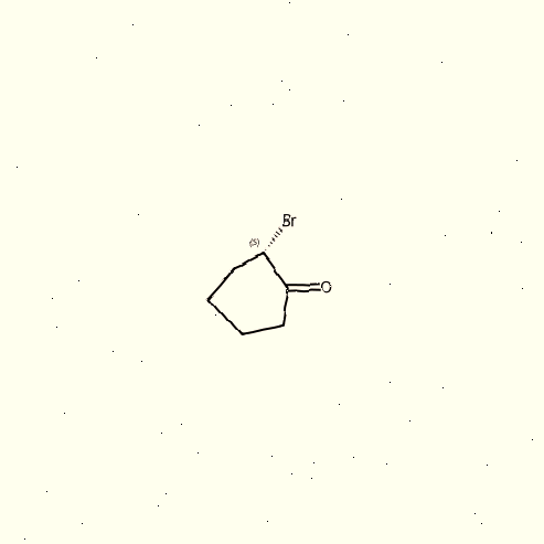 O=C1CCCC[C@@H]1Br